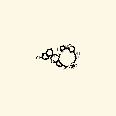 O=C1NS(=O)(=O)C/C=C\[C@]2(O)CCO[C@H](C2)[C@@H]2CC[C@H]2CN2C[C@@]3(CCCc4cc(Cl)ccc43)COc3ccc1cc32